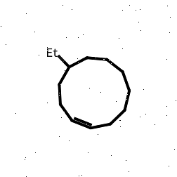 [CH2]CC1CCC=CCCCCCC1